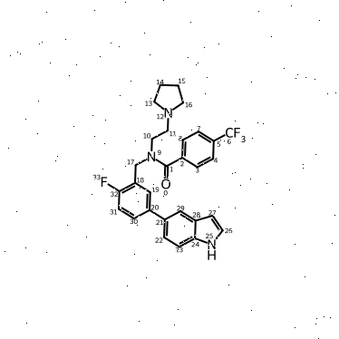 O=C(c1ccc(C(F)(F)F)cc1)N(CCN1CCCC1)Cc1cc(-c2ccc3[nH]ccc3c2)ccc1F